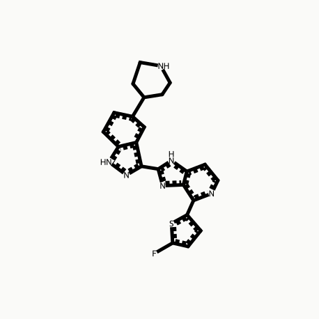 Fc1ccc(-c2nccc3[nH]c(-c4n[nH]c5ccc(C6CCNCC6)cc45)nc23)s1